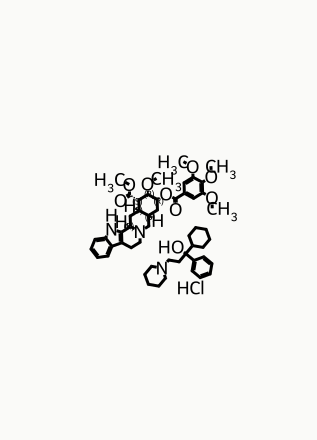 COC(=O)[C@H]1[C@H]2C[C@@H]3c4[nH]c5ccccc5c4CCN3C[C@H]2C[C@@H](OC(=O)c2cc(OC)c(OC)c(OC)c2)[C@@H]1OC.Cl.OC(CCN1CCCCC1)(c1ccccc1)C1CCCCC1